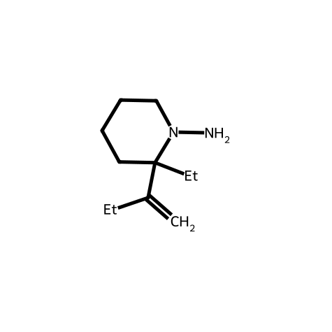 C=C(CC)C1(CC)CCCCN1N